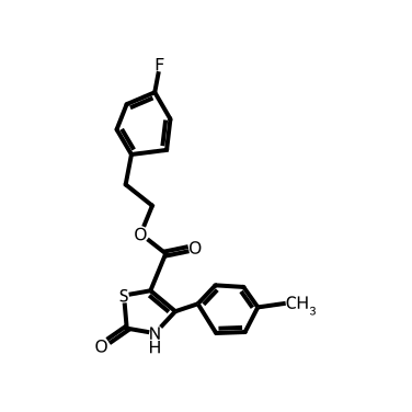 Cc1ccc(-c2[nH]c(=O)sc2C(=O)OCCc2ccc(F)cc2)cc1